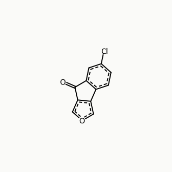 O=C1c2cc(Cl)ccc2-c2cocc21